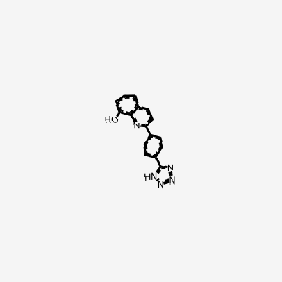 Oc1cccc2ccc(-c3ccc(-c4nnn[nH]4)cc3)nc12